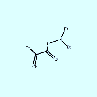 C=C(CC)C(=O)ON(CC)CC